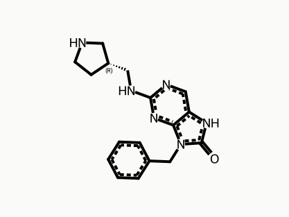 O=c1[nH]c2cnc(NC[C@@H]3CCNC3)nc2n1Cc1ccccc1